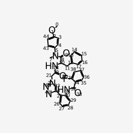 COc1ccc(N(C)C(=O)C(Cc2ccccc2)NC(=O)Cn2cc(-c3ccccc3NC(=O)c3ccccc3F)nn2)cc1